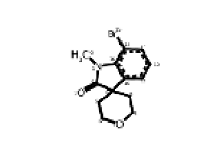 CN1C(=O)C2(CCOCC2)c2cccc(Br)c21